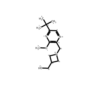 COc1nc(C(C)(C)C)cnc1CN1CC(CO)C1